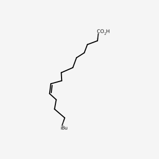 CCC(C)CCC/C=C\CCCCCCCC(=O)O